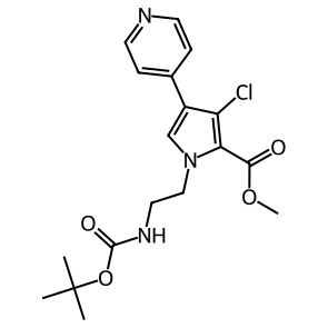 COC(=O)c1c(Cl)c(-c2ccncc2)cn1CCNC(=O)OC(C)(C)C